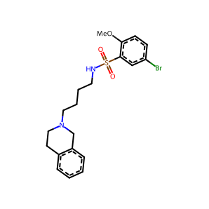 COc1ccc(Br)cc1S(=O)(=O)NCCCCN1CCc2ccccc2C1